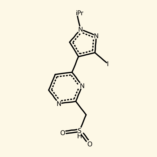 CC(C)n1cc(-c2ccnc(C[SH](=O)=O)n2)c(I)n1